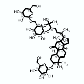 C[C@H](CC[C@@H](O[C@@H]1O[C@H](CO[C@@H]2O[C@H](CO)C[C@H](O)[C@H]2O)[C@@H](O)[C@H](O)[C@H]1O)C(C)(C)O)[C@H]1CC[C@@]2(C)[C@@H]3CC=C4[C@@H](CC[C@H](O[C@@H]5O[C@H](CO)[C@@H](O)[C@H](O)[C@H]5O)C4(C)C)[C@]3(C)C(=O)C[C@]12C